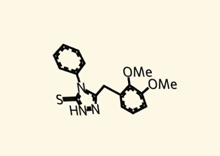 COc1cccc(Cc2n[nH]c(=S)n2-c2ccccc2)c1OC